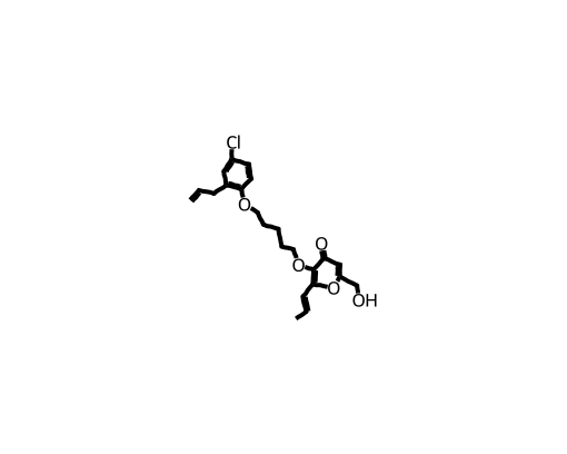 C=CCc1cc(Cl)ccc1OCCCCCOc1c(C=CC)oc(CO)cc1=O